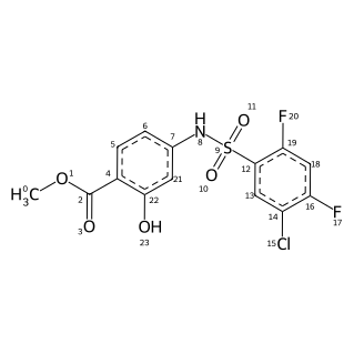 COC(=O)c1ccc(NS(=O)(=O)c2cc(Cl)c(F)cc2F)cc1O